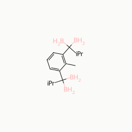 BC(B)(c1cccc(C(B)(B)C(C)C)c1C)C(C)C